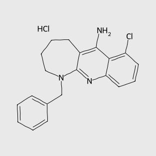 Cl.Nc1c2c(nc3cccc(Cl)c13)N(Cc1ccccc1)CCCC2